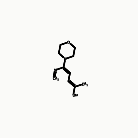 C=N/C(=C\C=C(/C)C(C)(C)C)N1CCOCC1